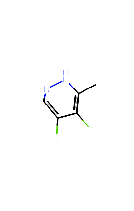 CC1=C(F)C(F)=CNN1